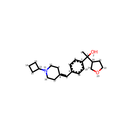 CC(O)(c1ccc(C=C2CCN(C3CCC3)CC2)cc1)C1CCOC1